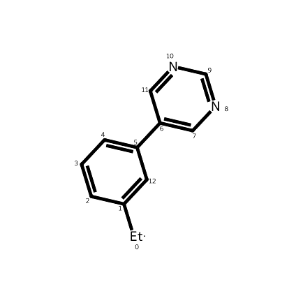 C[CH]c1cccc(-c2cncnc2)c1